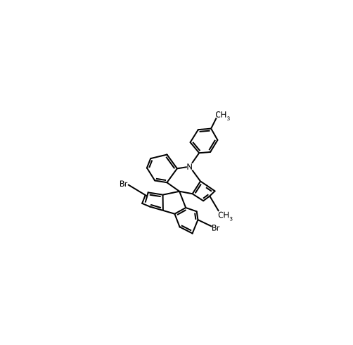 Cc1ccc(N2c3ccccc3C3(c4cc(Br)ccc4-c4ccc(Br)cc43)c3cc(C)ccc32)cc1